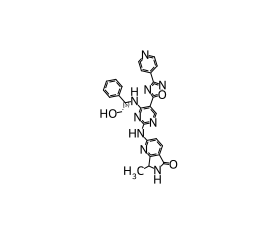 CC1NC(=O)c2ccc(Nc3ncc(-c4nc(-c5ccncc5)no4)c(N[C@H](CO)c4ccccc4)n3)nc21